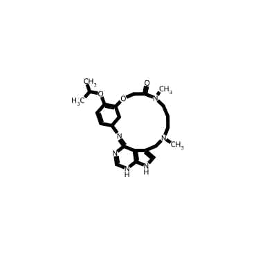 CC(C)OC1=C2CC(C=C1)/N=C1\N=CNc3[nH]cc(c31)CN(C)CCCN(C)C(=O)CO2